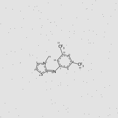 Cn1ccsc1=Nc1cc(C(F)(F)F)cc(C(F)(F)F)c1